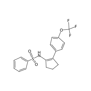 O=S(=O)(NC1=C(c2ccc(OC(F)(F)F)cc2)CCC1)c1ccccc1